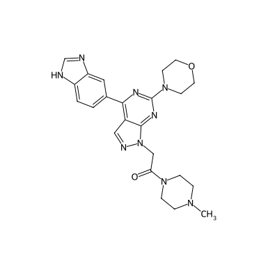 CN1CCN(C(=O)Cn2ncc3c(-c4ccc5[nH]cnc5c4)nc(N4CCOCC4)nc32)CC1